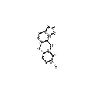 Fc1ccc2ccoc2c1Oc1cccc(Cl)c1